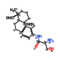 CC12CCC[C@](C)(C=O)C1CCc1ccc(NC(=O)C(N)CO)cc12